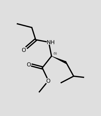 CCC(=O)N[C@@H](CC(C)C)C(=O)OC